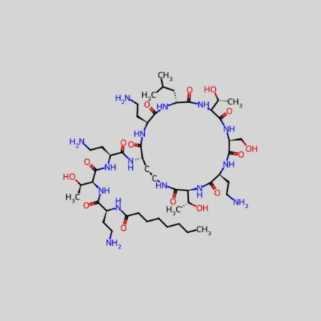 CCCCCCCC(=O)N[C@@H](CCN)C(=O)N[C@H](C(=O)N[C@@H](CCN)C(=O)N[C@H]1CCNC(=O)[C@H]([C@@H](C)O)NC(=O)[C@H](CCN)NC(=O)[C@H](CO)NC(=O)[C@H]([C@@H](C)O)NC(=O)[C@@H](CC(C)C)NC(=O)[C@H](CCN)NC1=O)[C@@H](C)O